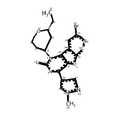 CC[C@H]1C[C@@H](n2c(=O)nc(-c3cnn(C)c3)c3oc4cnc(Br)cc4c32)CCO1